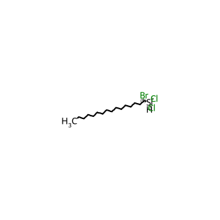 CCCCCCCCCCCCCCC[C@H](Br)[SiH](Cl)Cl